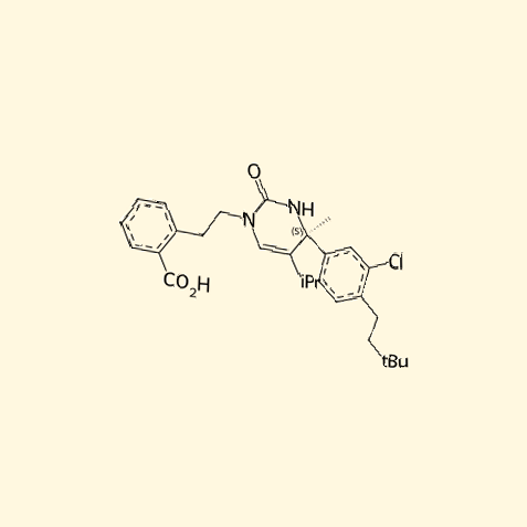 CC(C)C1=CN(CCc2ccccc2C(=O)O)C(=O)N[C@@]1(C)c1ccc(CCC(C)(C)C)c(Cl)c1